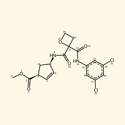 COC(=O)[C@@H]1C=C[C@H](NC(=O)C2(C(=O)Nc3cc(Cl)cc(Cl)c3)CCO2)C1